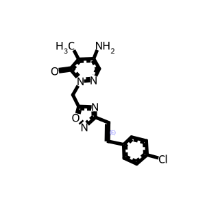 Cc1c(N)cnn(Cc2nc(/C=C/c3ccc(Cl)cc3)no2)c1=O